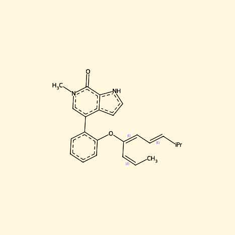 C\C=C/C(=C\C=C\C(C)C)Oc1ccccc1-c1cn(C)c(=O)c2[nH]ccc12